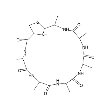 CC1NC(=O)C(C)NC(=O)C(C)NC(=O)C2CSC(N2)C(C)NC(=O)C(C)NC(=O)C(C)NC1=O